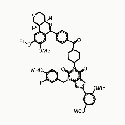 CCOc1cc2c(cc1OC)C(c1ccc(C(=O)N3CCC(n4c(=O)c5sc(-c6cc(OC)ccc6OC)cc5n(Cc5ccc(OC)c(F)c5)c4=O)CC3)cc1)=N[C@@H]1CCSC[C@H]21